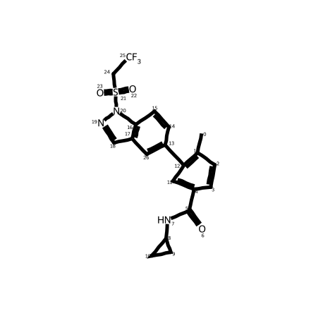 Cc1ccc(C(=O)NC2CC2)cc1-c1ccc2c(cnn2S(=O)(=O)CC(F)(F)F)c1